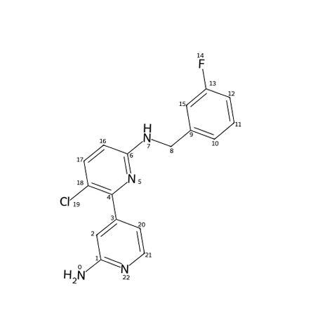 Nc1cc(-c2nc(NCc3cccc(F)c3)ccc2Cl)ccn1